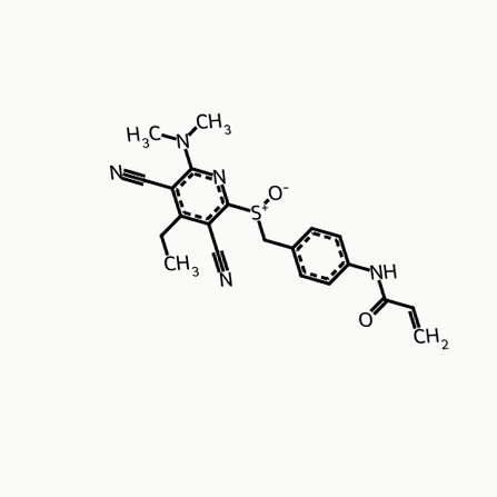 C=CC(=O)Nc1ccc(C[S+]([O-])c2nc(N(C)C)c(C#N)c(CC)c2C#N)cc1